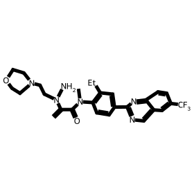 C=C(C(=O)N(C)c1ccc(-c2ncc3cc(C(F)(F)F)ccc3n2)cc1CC)N(N)CCN1CCOCC1